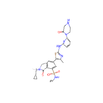 Cc1nc(Nc2cccc(N3CCNCC3=O)n2)sc1-c1cc2c(c(S(=O)(=O)NC(C)C)c1)C(=O)N([C@@H](C)C1CC1)C2